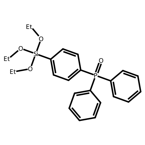 CCO[Si](OCC)(OCC)c1ccc(P(=O)(c2ccccc2)c2ccccc2)cc1